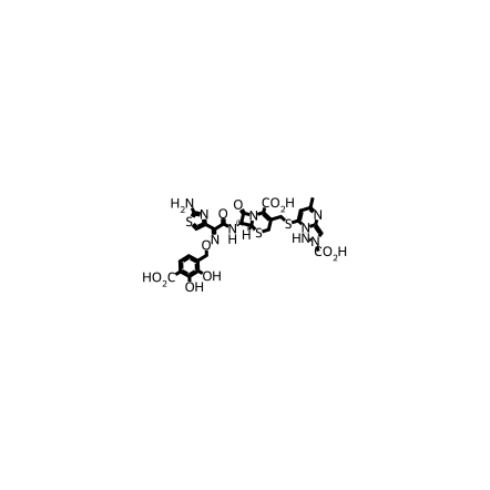 CC1=NC2=CN(C(=O)O)NN2C(SCC2=C(C(=O)O)N3C(=O)[C@@H](NC(=O)C(=NOCc4ccc(C(=O)O)c(O)c4O)c4csc(N)n4)[C@H]3SC2)=C1